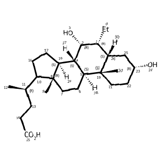 CC[C@H]1[C@@H](O)[C@@H]2[C@H](CC[C@]3(C)C([C@H](C)CCC(=O)O)CC[C@@H]23)[C@@]2(C)CC[C@@H](O)C[C@@H]12